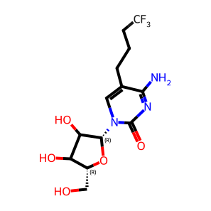 Nc1nc(=O)n([C@@H]2O[C@H](CO)C(O)C2O)cc1CCCC(F)(F)F